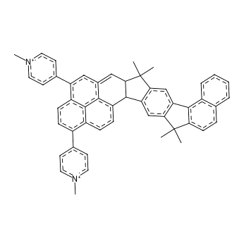 C[n+]1ccc(-c2ccc3c(-c4cc[n+](C)cc4)cc4c5c(ccc2c35)C2c3cc5c(cc3C(C)(C)C2C=4)-c2c(ccc3ccccc23)C5(C)C)cc1